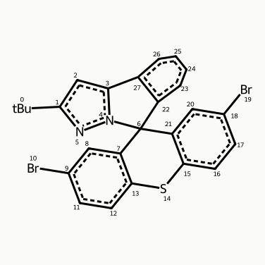 CC(C)(C)c1cc2n(n1)C1(c3cc(Br)ccc3Sc3ccc(Br)cc31)c1ccccc1-2